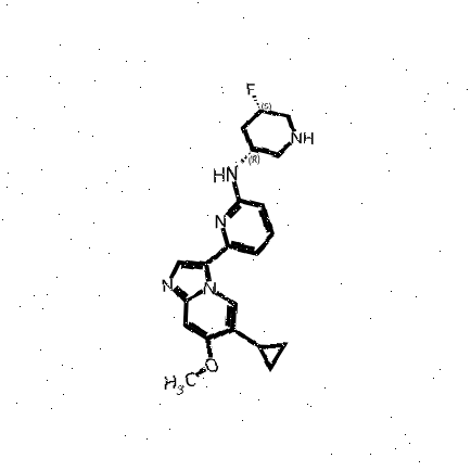 COc1cc2ncc(-c3cccc(N[C@H]4CNC[C@@H](F)C4)n3)n2cc1C1CC1